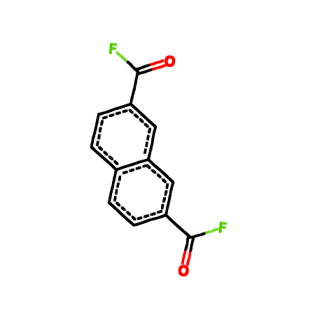 O=C(F)c1ccc2ccc(C(=O)F)cc2c1